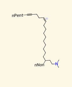 CCCCCC#CCC/C=C\CCCCCCCCCC(CCCCCCCCC)CCN(C)C